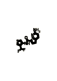 Nc1ccc2ccc(C(=O)Nc3cscc3C(F)F)n2n1